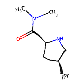 CC(C)[C@@H]1CN[C@H](C(=O)N(C)C)C1